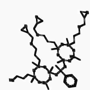 C[SiH]1O[Si](C)(CCCO)O[Si](C)(CCCOCC2CO2)O[Si](C)(O[Si](C)(O[Si]2(C)O[SiH](C)O[Si](C)(CCCOCC3CO3)O[Si](C)(CCCOCC3CO3)O2)c2ccccc2)O1